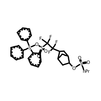 CCCS(=O)(=O)OC1CC2CC1CC2C(F)(F)C(F)(F)S(=O)(=O)OS(c1ccccc1)(c1ccccc1)c1ccccc1